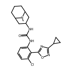 CN1C2CCCC1CC(NC(=O)Nc1cccc(Cl)c1-c1nc(C3CC3)no1)C2